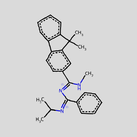 CN/C(=N\C(=N/C(C)C)c1ccccc1)c1ccc2c(c1)C(C)(C)c1ccccc1-2